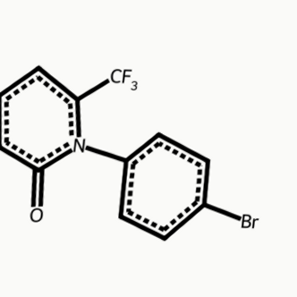 O=c1cccc(C(F)(F)F)n1-c1ccc(Br)cc1